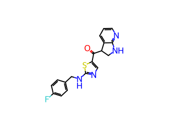 O=C(c1cnc(NCc2ccc(F)cc2)s1)C1CNc2ncccc21